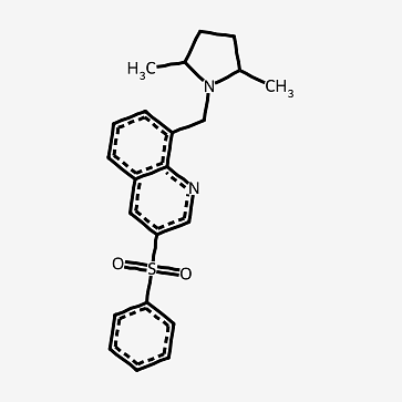 CC1CCC(C)N1Cc1cccc2cc(S(=O)(=O)c3ccccc3)cnc12